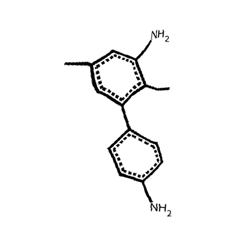 Cc1cc(N)c(C)c(-c2ccc(N)cc2)c1